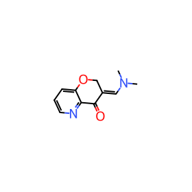 CN(C)/C=C1\COc2cccnc2C1=O